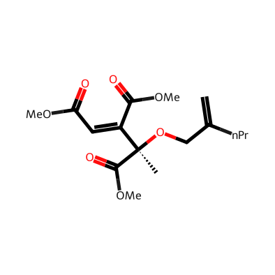 C=C(CCC)CO[C@@](C)(C(=O)OC)/C(=C/C(=O)OC)C(=O)OC